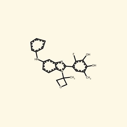 Cc1cc(-c2nc3cc(Nc4ccccc4)ccc3n2C2(C)COC2)c(F)c(O)c1O